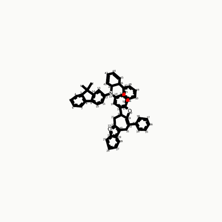 CC1(C)c2ccccc2-c2ccc(N(c3ccc4c(c3)C3Cc5oc6ccccc6c5CC(c5ccccc5)=C3O4)C3C=CC=CC3c3ccccc3)cc21